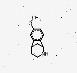 COc1ccc2c(c1)C1CCNC2C1